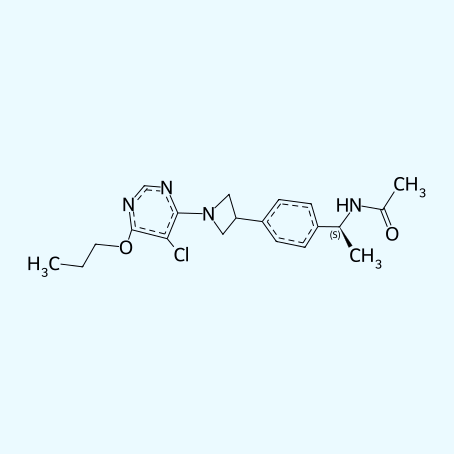 CCCOc1ncnc(N2CC(c3ccc([C@H](C)NC(C)=O)cc3)C2)c1Cl